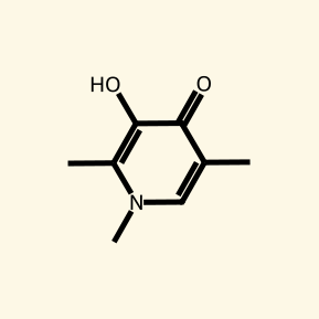 Cc1cn(C)c(C)c(O)c1=O